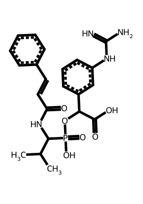 CC(C)C(NC(=O)C=Cc1ccccc1)P(=O)(O)OC(C(=O)O)c1cccc(NC(=N)N)c1